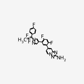 CC(F)(F)[C@@H](c1ccc(F)cc1)n1cc(-c2cc(-c3ccn4nc(N)nc4c3)c(F)cc2F)cn1